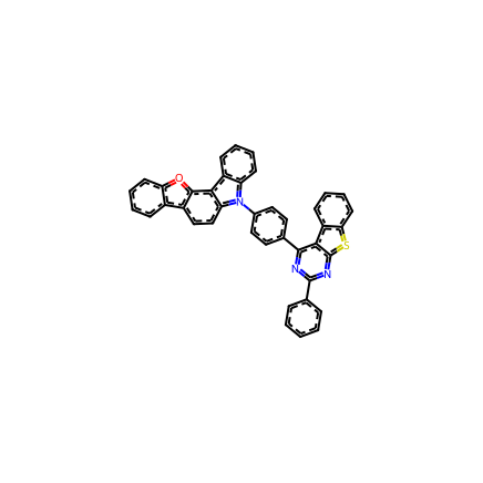 c1ccc(-c2nc(-c3ccc(-n4c5ccccc5c5c6oc7ccccc7c6ccc54)cc3)c3c(n2)sc2ccccc23)cc1